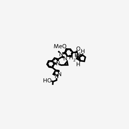 COc1cc(C(=O)N2C[C@H]3CC[C@@H]2[C@@H]3N)cc2nc(-c3cc4cccc(-c5cnn(CC(C)O)c5)c4n3CC3CC3)n(C)c12